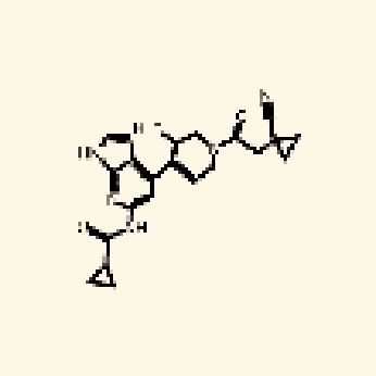 CC1CN(C(=O)CC2(C#N)CC2)CC=C1c1cc(NC(=O)C2CC2)nc2[nH]ccc12